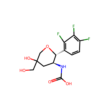 O=C(O)N[C@H]1CC(O)(CO)CO[C@@H]1c1ccc(F)c(F)c1F